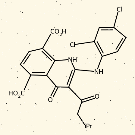 CC(C)CC(=O)c1c(Nc2ccc(Cl)cc2Cl)[nH]c2c(C(=O)O)ccc(C(=O)O)c2c1=O